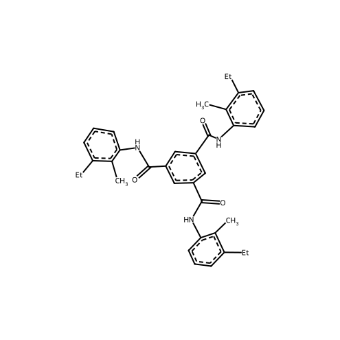 CCc1cccc(NC(=O)c2cc(C(=O)Nc3cccc(CC)c3C)cc(C(=O)Nc3cccc(CC)c3C)c2)c1C